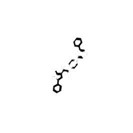 Cc1[nH]c(-c2ccccc2)cc1C(=O)C(=O)N1CCN(C2=COC=C(C3=CC=CCC3)O2)CC1